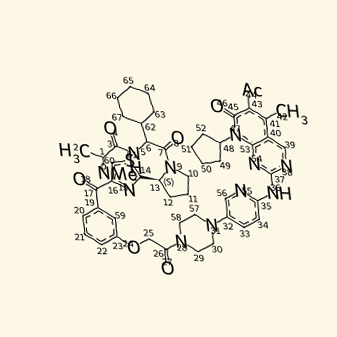 CNC(C)C(=O)NC(C(=O)N1CCC[C@H]1c1nc(C(=O)c2cccc(OCC(=O)N3CCN(c4ccc(Nc5ncc6c(C)c(C(C)=O)c(=O)n(C7CCCC7)c6n5)nc4)CC3)c2)cs1)C1CCCCC1